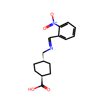 O=C(O)[C@H]1CC[C@H](CN=Cc2ccccc2[N+](=O)[O-])CC1